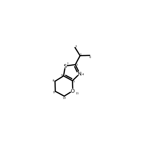 CC(C)c1nc2c(s1)CCCO2